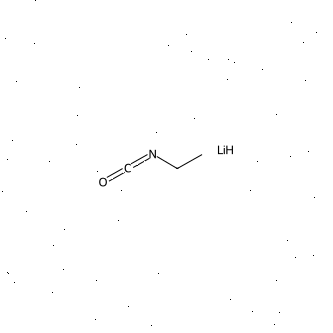 CCN=C=O.[LiH]